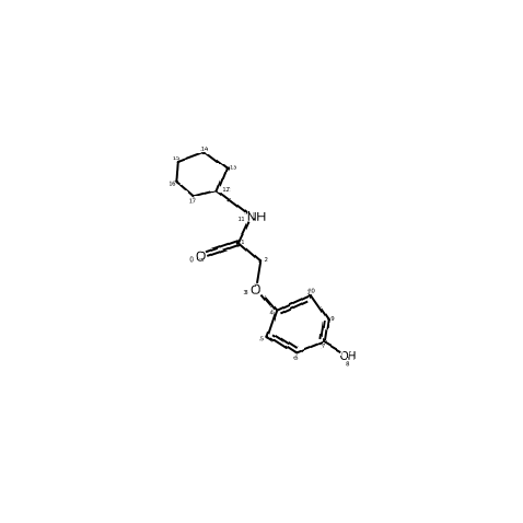 O=C(COc1ccc(O)cc1)NC1CCCCC1